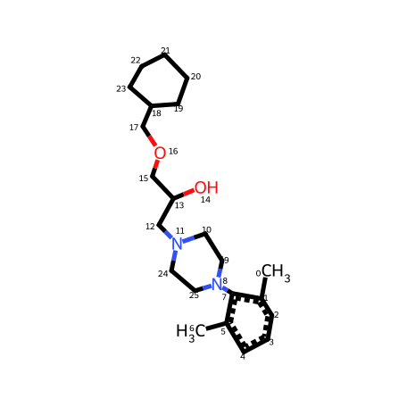 Cc1cccc(C)c1N1[CH]CN(CC(O)COCC2CCCCC2)CC1